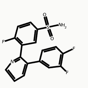 NS(=O)(=O)c1ccc(F)c(-c2ncccc2-c2ccc(F)c(F)c2)c1